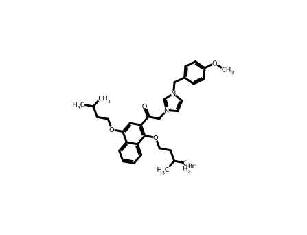 COc1ccc(Cn2cc[n+](CC(=O)c3cc(OCCC(C)C)c4ccccc4c3OCCC(C)C)c2)cc1.[Br-]